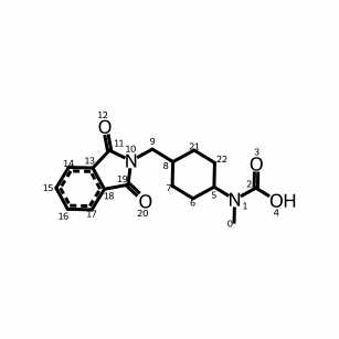 CN(C(=O)O)C1CCC(CN2C(=O)c3ccccc3C2=O)CC1